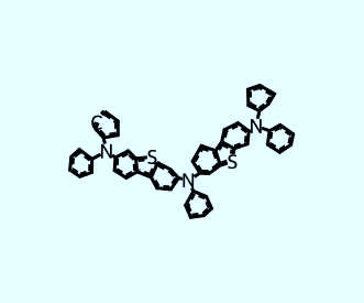 c1ccc(N(c2ccccc2)c2ccc3c(c2)sc2cc(N(c4ccccc4)c4ccc5c(c4)sc4cc(N(c6ccccc6)c6ccccc6)ccc45)ccc23)cc1